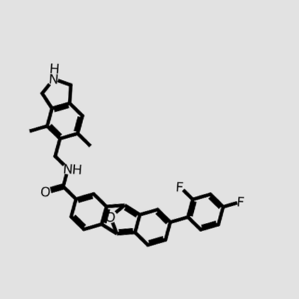 Cc1cc2c(c(C)c1CNC(=O)c1ccc3c(c1)c1oc3c3ccc(-c4ccc(F)cc4F)cc31)CNC2